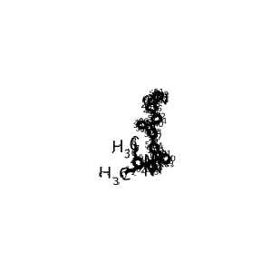 CCCc1cc(CCC)cc(-c2ncnc(-n3c4ccccc4c4cc(-c5ccc6c(c5)c5ccccc5n6-c5cccc(-c6ccc7oc8cccnc8c7c6)c5)ccc43)n2)c1